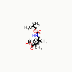 CC(C)COC(=O)NCC(C)(C)CC(C)(C)C(=O)O